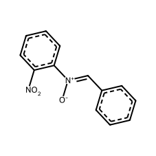 O=[N+]([O-])c1ccccc1[N+]([O-])=Cc1ccccc1